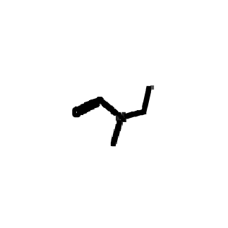 [CH2]CN(C)C=O